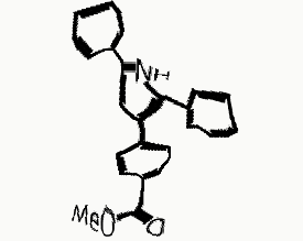 COC(=O)c1ccc(-c2cc(-c3ccccc3)[nH]c2-c2ccccc2)cc1